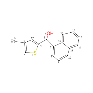 CCc1csc(C(O)c2cccc3ccccc23)c1